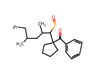 CC(C)CC(C)CC(C)C(P=O)C1(C(=O)c2ccccc2)CCCC1